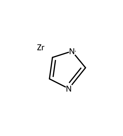 C1=CN=C[N]1.[Zr]